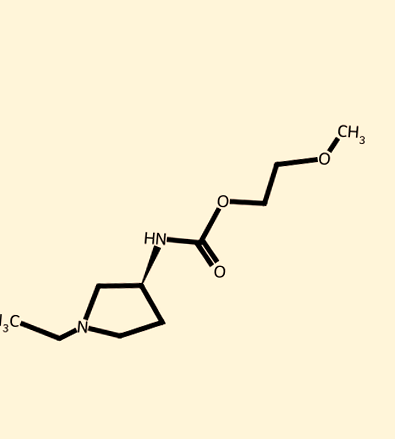 CCN1CC[C@H](NC(=O)OCCOC)C1